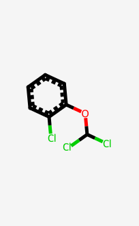 Clc1ccccc1OC(Cl)Cl